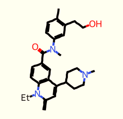 C=C1C=C(C2CCN(C)CC2)c2cc(C(=O)N(C)c3ccc(C)c(CCO)c3)ccc2N1CC